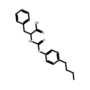 CCCCc1ccc(OC(=O)NC(Cc2ccccc2)C(=O)O)cc1